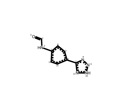 O=CNc1ccc(-c2nn[nH]n2)cc1